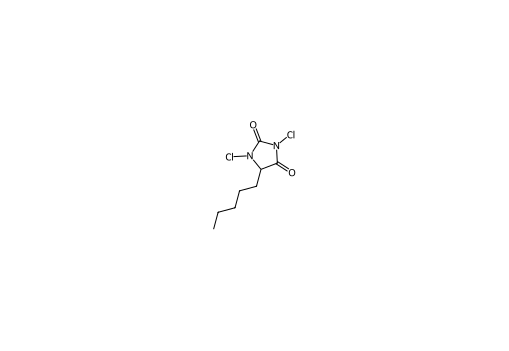 CCCCCC1C(=O)N(Cl)C(=O)N1Cl